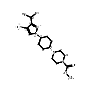 CC(C)(C)OC(=O)N1CCN([C@H]2CC[C@H](n3cc([N+](=O)[O-])c(C(F)F)n3)CC2)CC1